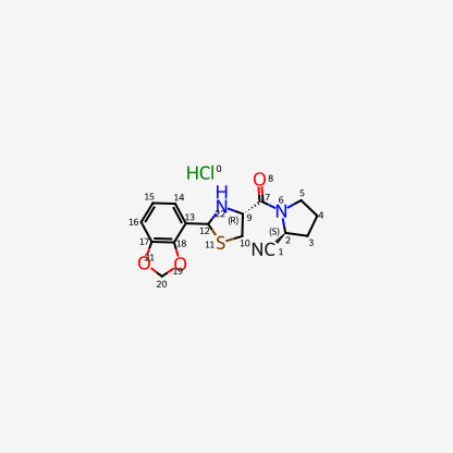 Cl.N#C[C@@H]1CCCN1C(=O)[C@@H]1CSC(c2cccc3c2OCO3)N1